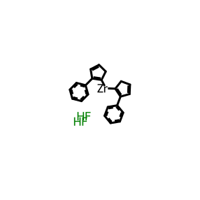 C1=CC(c2ccccc2)=[C]([Zr][C]2=C(c3ccccc3)C=CC2)C1.F.F